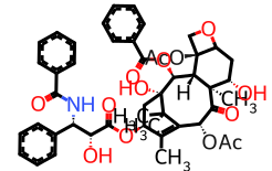 CC(=O)O[C@H]1C(=O)[C@]2(C)[C@@H](O)CC3OC[C@@]3(OC(C)=O)[C@H]2[C@H](OC(=O)c2ccccc2)[C@]2(O)C[C@H](OC(=O)[C@H](O)[C@@H](NC(=O)c3ccccc3)c3ccccc3)C(C)=C1C2(C)C